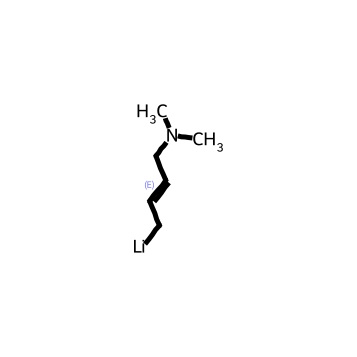 [Li][CH2]/C=C/CN(C)C